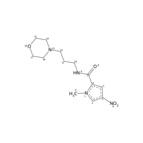 Cn1cc([N+](=O)[O-])cc1C(=O)NCCCN1CCOCC1